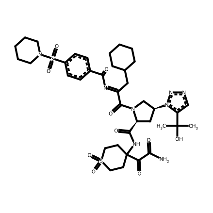 CC(C)(O)c1cnnn1[C@H]1C[C@@H](C(=O)NC2(C(=O)C(N)=O)CCS(=O)(=O)CC2)N(C(=O)/C(CC2CCCCC2)=N/C(=O)c2ccc(S(=O)(=O)N3CCCCC3)cc2)C1